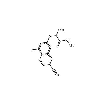 C#Cc1cnc2c(F)cc(OC(SC)C(=O)NC(C)(C)C)cc2c1